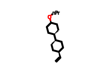 C=C[C@H]1CC[C@H]([C@H]2CC[C@H](OCCC)CC2)CC1